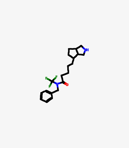 O=C(CCCCC1CCC2CNCC12)N(Cc1ccccc1)C(F)(F)F